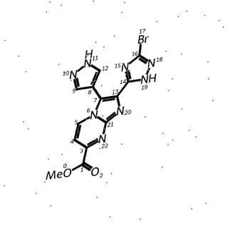 COC(=O)c1ccn2c(-c3cn[nH]c3)c(-c3nc(Br)n[nH]3)nc2n1